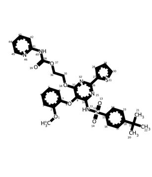 COc1ccccc1Oc1c(NS(=O)(=O)c2ccc(C(C)(C)C)cc2)nc(-c2cccs2)nc1OCCOC(=O)Nc1ccccn1